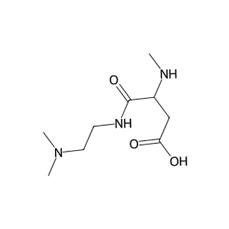 CNC(CC(=O)O)C(=O)NCCN(C)C